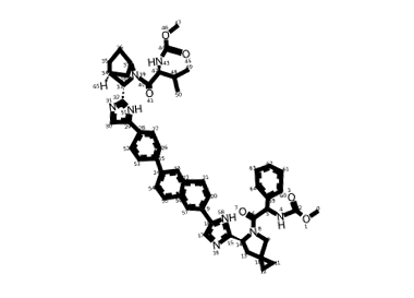 COC(=O)NC(C(=O)N1CC2(CC2)C[C@H]1c1ncc(-c2ccc3cc(-c4ccc(-c5cnc([C@@H]6[C@H]7CCC(C7)N6C(=O)[C@@H](NC(=O)OC)C(C)C)[nH]5)cc4)ccc3c2)[nH]1)c1ccccc1